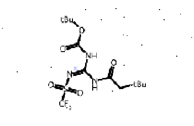 CC(C)(C)CC(=O)N/C(=N\S(=O)(=O)C(F)(F)F)NC(=O)OC(C)(C)C